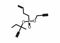 C#CCOP(=O)(CCC=C)OC(C)(C#C)CC